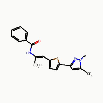 Cn1nc(-c2ccc(C=C(NC(=O)c3ccccc3)C(=O)O)s2)cc1C(F)(F)F